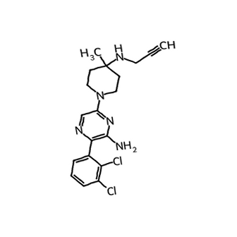 C#CCNC1(C)CCN(c2cnc(-c3cccc(Cl)c3Cl)c(N)n2)CC1